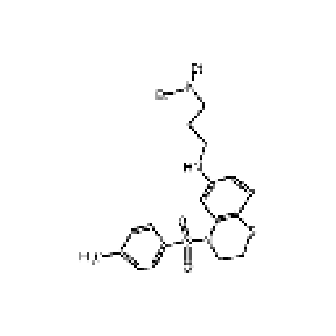 CCN(CC)CCCNc1ccc2c(c1)N(S(=O)(=O)c1ccc(C)cc1)CCS2